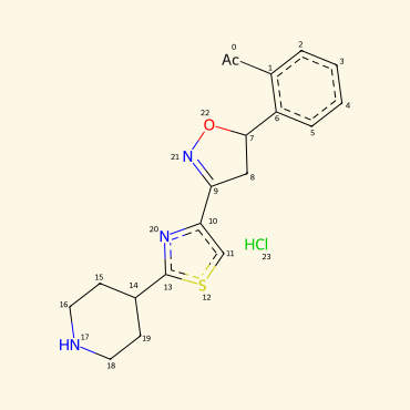 CC(=O)c1ccccc1C1CC(c2csc(C3CCNCC3)n2)=NO1.Cl